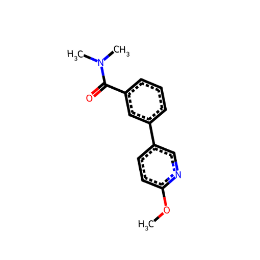 COc1ccc(-c2cccc(C(=O)N(C)C)c2)cn1